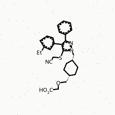 CCc1cccc(-c2c(-c3ccccc3)nn(C[C@H]3CC[C@@H](COCC(=O)O)CC3)c2SCC#N)c1